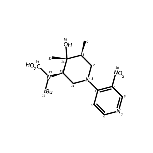 C[C@H]1CN(c2ccncc2[N+](=O)[O-])C[C@@H](N(C(=O)O)C(C)(C)C)[C@]1(C)O